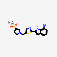 CS(=O)(=O)C1CCN(Cc2cnc(-c3cc4cccc(N)c4[nH]3)s2)C1